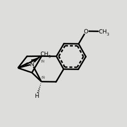 COc1ccc2c(c1)[C@@]13CCCCC4(C1)C3[C@H](C2)N4C